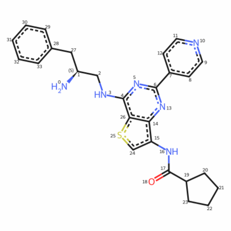 N[C@H](CNc1nc(-c2ccncc2)nc2c(NC(=O)C3CCCC3)csc12)Cc1ccccc1